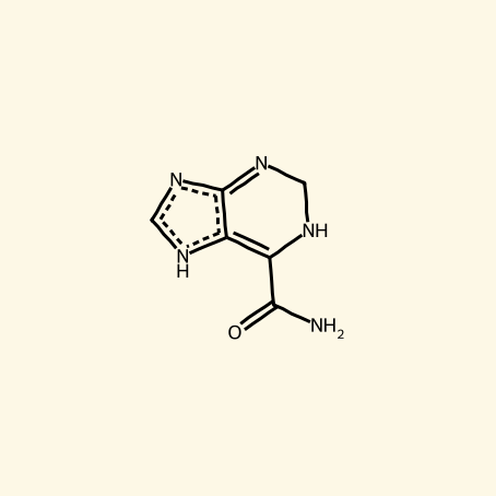 NC(=O)C1=c2[nH]cnc2=NCN1